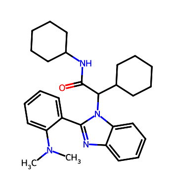 CN(C)c1ccccc1-c1nc2ccccc2n1C(C(=O)NC1CCCCC1)C1CCCCC1